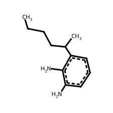 CCCCC(C)c1cccc(N)c1N